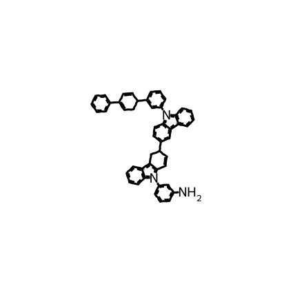 Nc1cccc(-n2c3c(c4ccccc42)CC(c2ccc4c(c2)c2ccccc2n4-c2cccc(C4C=CC(c5ccccc5)=CC4)c2)C=C3)c1